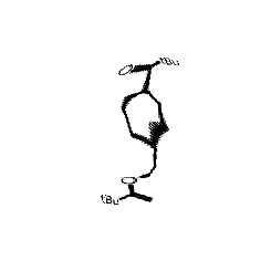 C=C(OCC1CCC(C(=O)C(C)(C)C)CC1)C(C)(C)C